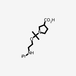 CC(C)NCCOC(C)(C)N1CCC(C(=O)O)C1